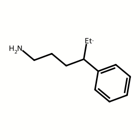 C[CH]C(CCCN)c1ccccc1